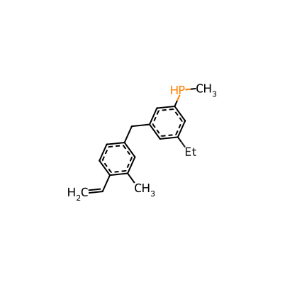 C=Cc1ccc(Cc2cc(CC)cc(PC)c2)cc1C